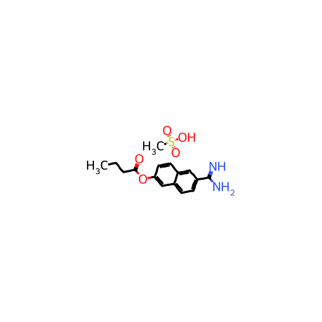 CCCC(=O)Oc1ccc2cc(C(=N)N)ccc2c1.CS(=O)(=O)O